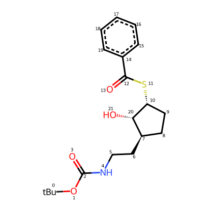 CC(C)(C)OC(=O)NCC[C@@H]1CC[C@@H](SC(=O)c2ccccc2)[C@H]1O